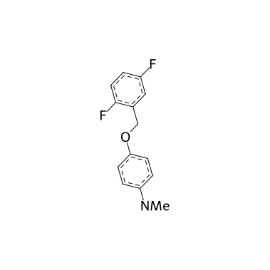 CNc1ccc(OCc2cc(F)ccc2F)cc1